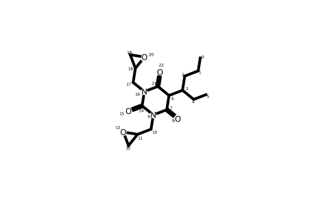 CCCC(CC)C1C(=O)N(CC2CO2)C(=O)N(CC2CO2)C1=O